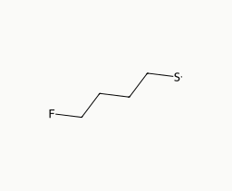 FCCCC[S]